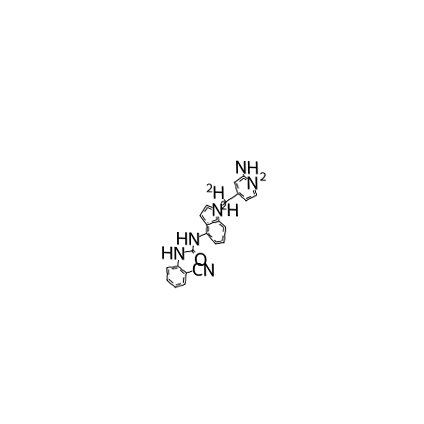 [2H]C([2H])(c1ccnc(N)c1)n1ccc2c(NC(=O)Nc3ccccc3C#N)cccc21